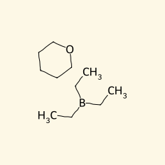 C1CCOCC1.CCB(CC)CC